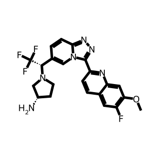 COc1cc2nc(-c3nnc4ccc([C@H](N5CC[C@H](N)C5)C(F)(F)F)cn34)ccc2cc1F